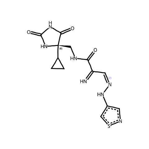 N=C(/C=N\Nc1cnsc1)C(=O)NC[C@@]1(C2CC2)NC(=O)NC1=O